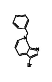 Brc1cnc2n(Cc3ccccc3)cccc1-2